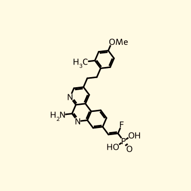 COc1ccc(CCc2cnc3c(N)nc4cc(/C=C(\F)P(=O)(O)O)ccc4c3c2)c(C)c1